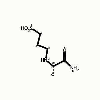 C[C@H](NCCCS(=O)(=O)O)C(N)=O